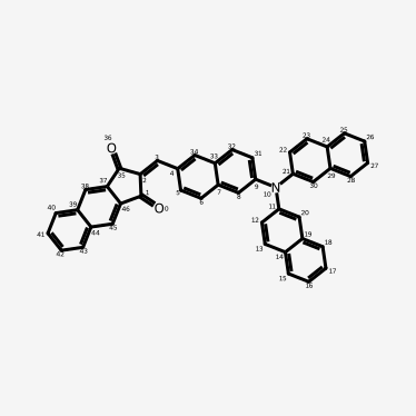 O=C1C(=Cc2ccc3cc(N(c4ccc5ccccc5c4)c4ccc5ccccc5c4)ccc3c2)C(=O)c2cc3ccccc3cc21